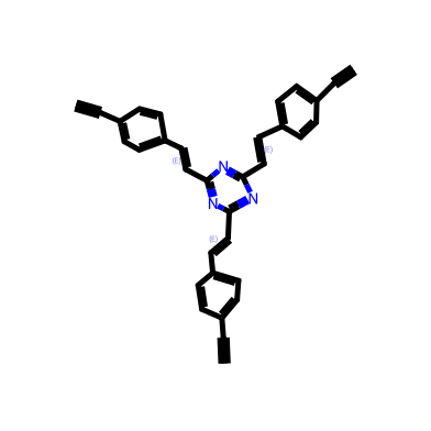 C#Cc1ccc(/C=C/c2nc(/C=C/c3ccc(C#C)cc3)nc(/C=C/c3ccc(C#C)cc3)n2)cc1